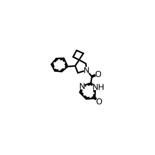 O=C(c1nccc(=O)[nH]1)N1CC(c2ccccc2)C2(CCC2)C1